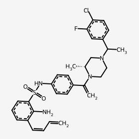 C=C/C=C\c1cccc(S(=O)(=O)Nc2ccc(C(=C)N3CCN(C(C)c4ccc(Cl)c(F)c4)C[C@H]3C)cc2)c1N